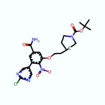 CC(C)(C)OC(=O)N1CCC(CCOc2cc(C(N)=O)cc(-c3cnc(Cl)nc3)c2[N+](=O)[O-])CC1